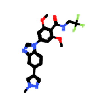 COc1cc(-n2cnc3cc(-c4cnn(C)c4)ccc32)cc(OC)c1C(=O)NCC(F)(F)F